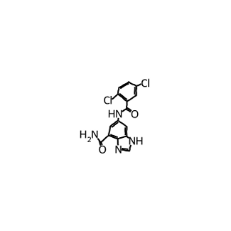 NC(=O)c1cc(NC(=O)c2cc(Cl)ccc2Cl)cc2[nH]cnc12